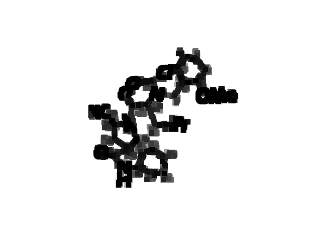 COc1ccccc1CN(C(=O)C(F)(F)F)C(CC(C)C)C(=O)N1C[C@]2(C[C@H]1C#N)C(=O)Nc1ccccc12